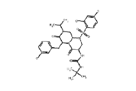 CC(C)N1CC2N(C(=O)C(NC(=O)NC(C)(C)C)CN2S(=O)(=O)c2ccc(Cl)cc2Cl)C(Cc2cccc(Cl)c2)C1=O